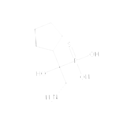 NCC(O)(C1CCCC1)P(O)(O)=S